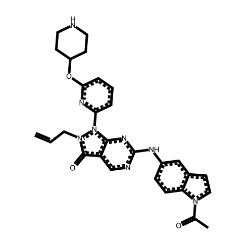 C=CCn1c(=O)c2cnc(Nc3ccc4c(ccn4C(C)=O)c3)nc2n1-c1cccc(OC2CCNCC2)n1